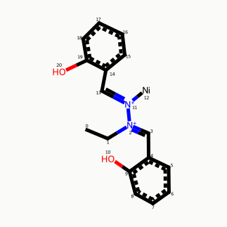 CC[N+](=Cc1ccccc1O)[N+]([Ni])=Cc1ccccc1O